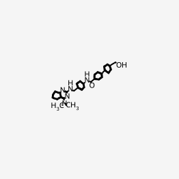 CN(C)c1nc(NCc2ccc(NC(=O)c3ccc(-c4ccc(CO)cc4)cc3)cc2)nc2ccccc12